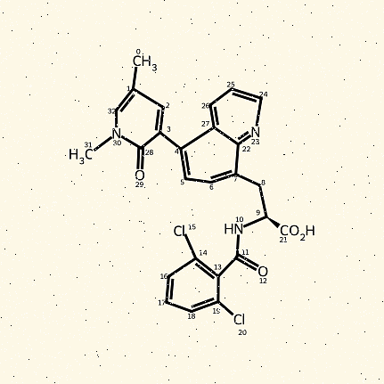 Cc1cc(-c2ccc(C[C@H](NC(=O)c3c(Cl)cccc3Cl)C(=O)O)c3ncccc23)c(=O)n(C)c1